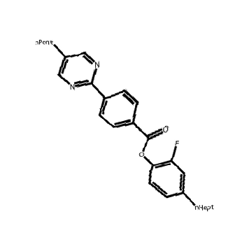 CCCCCCCc1ccc(OC(=O)c2ccc(-c3ncc(CCCCC)cn3)cc2)c(F)c1